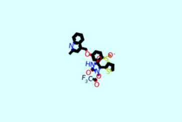 Cc1cc(COc2ccc([S+]([O-])c3ccsc3C3C(=O)NC(=O)N3OC(=O)C(F)(F)F)cc2)c2ccccc2n1